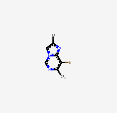 CCc1cn2cnc(C(F)(F)F)c(Br)c2n1